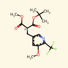 COC(=O)[C@H](Cc1cnc(C(F)(F)F)c(OC)c1)C(=O)OC(C)(C)C